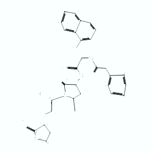 CC1C[C@H](NC(=O)[C@H](Cc2cccc3ccccc23)NC(=O)Cc2ccccc2)C(=O)N1[C@H](C=O)CC[C@@H]1CCNC1=O